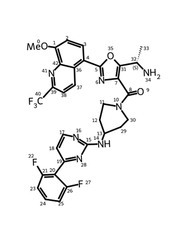 COc1ccc(-c2nc(C(=O)N3CCC(Nc4nccc(-c5c(F)cccc5F)n4)CC3)c([C@H](C)N)o2)c2ccc(C(F)(F)F)nc12